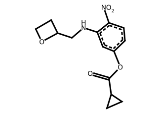 O=C(Oc1ccc([N+](=O)[O-])c(NCC2CCO2)c1)C1CC1